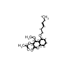 CCC=CCCOc1cccc2oc(=O)c(OC(C)=O)c(OC)c12